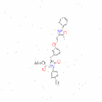 CCc1ccc(N2C(=O)[C@@H](Cc3cccc(OCCc4nc(-c5ccccc5)oc4C)c3)[C@H]2C(=O)OC)cc1